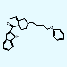 C/C=C1/CN(CCCCOc2ccccc2)CC[C@H]1C(=O)c1cc2ccccc2[nH]1